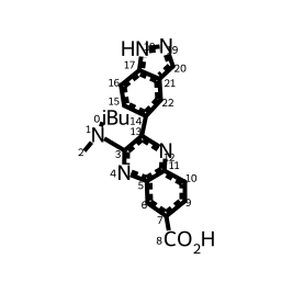 CCC(C)N(C)c1nc2cc(C(=O)O)ccc2nc1-c1ccc2[nH]ncc2c1